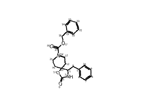 O=C1NC(Cc2ccccc2)C2(CCN(C(=O)OCc3ccccc3)CC2)O1